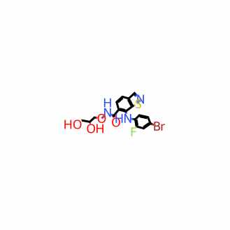 O=C(NOC[C@H](O)CO)c1ccc2cnsc2c1Nc1ccc(Br)cc1F